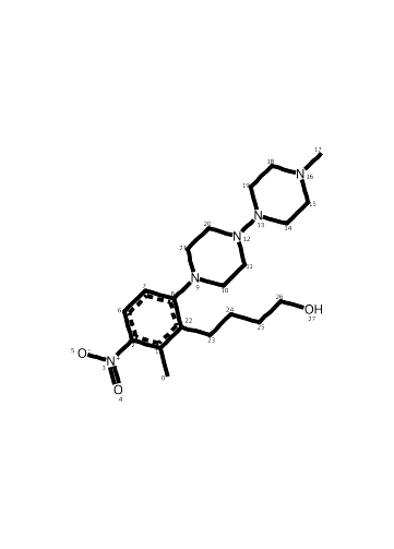 Cc1c([N+](=O)[O-])ccc(N2CCN(N3CCN(C)CC3)CC2)c1CCCCO